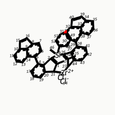 CC1=C2c3c(-c4ccc5c6c(cccc46)C=C5)cccc3[CH]1[Zr+2][CH]1C(C)=C(c3c(-c4ccc5c6c(cccc46)C=C5)cccc31)[Si]2(C)c1ccccc1.[Cl-].[Cl-]